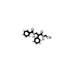 N#CCNC(=O)C(CNC(=O)C1=CCCCC1)C1CCCCC1